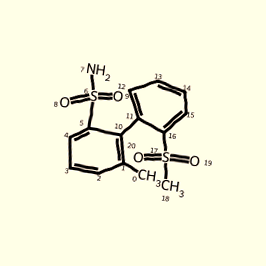 Cc1cccc(S(N)(=O)=O)c1-c1ccccc1S(C)(=O)=O